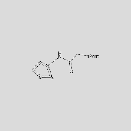 CCCCCCC(=O)Nc1ccns1